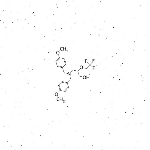 COc1ccc(CN(Cc2ccc(OC)cc2)CC(CO)OCC(F)(F)F)cc1